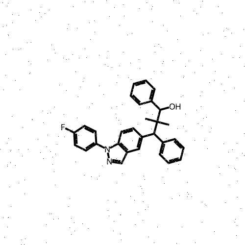 CC(C)(C(O)c1ccccc1)C(c1ccccc1)c1ccc2c(cnn2-c2ccc(F)cc2)c1